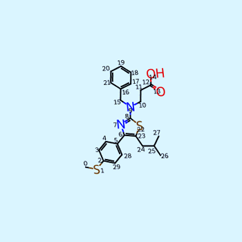 CSc1ccc(-c2nc(N(CCC(=O)O)Cc3ccccc3)sc2CC(C)C)cc1